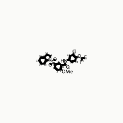 COc1ccc(S(=O)(=O)N2CCc3ccccc32)cc1C(=O)Nc1ccc(OC(F)F)c(Cl)c1